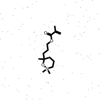 C=C(C)C(=O)OCCCC1(C)CCC[Si](C)(C)O1